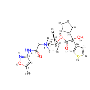 CCc1cc(NC(=O)C[N+]23CCC(CC2)[C@@H](OC(=O)C(O)(c2ccsc2)C2CCCC2)C3)no1